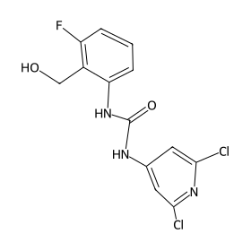 O=C(Nc1cc(Cl)nc(Cl)c1)Nc1cccc(F)c1CO